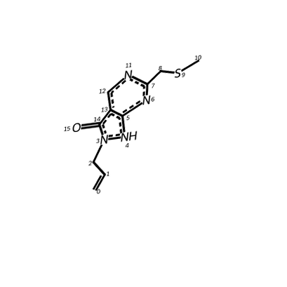 C=CCn1[nH]c2nc(CSC)ncc2c1=O